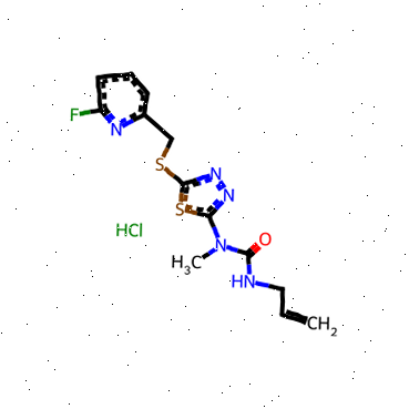 C=CCNC(=O)N(C)c1nnc(SCc2cccc(F)n2)s1.Cl